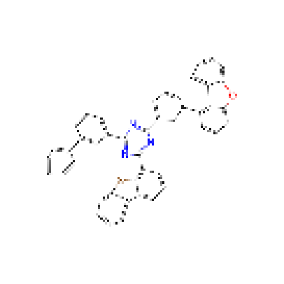 C1=CC(c2cccc3oc4ccccc4c23)CC(c2nc(-c3cccc(-c4ccccc4)c3)nc(-c3cccc4c3sc3ccccc34)n2)=C1